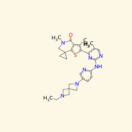 CCN1CC2(C1)CN(c1ccc(Nc3ncc(C)c(-c4sc5c(c4C)C(=O)N(C)CC54CC4)n3)nc1)C2